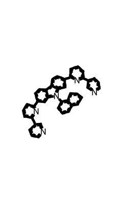 c1cncc(-c2cccc(-c3ccc4c5ccc(-c6cccc(-c7cccnc7)n6)cc5n(-c5cccc6ccccc56)c4c3)n2)c1